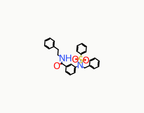 O=C(NCCc1ccccc1)c1cccc(N(Cc2ccccc2)S(=O)(=O)c2ccccc2)c1